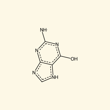 [NH]c1nc(O)c2[nH]cnc2n1